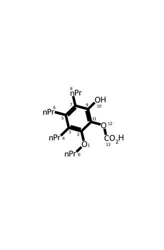 CCCOc1c(CCC)c(CCC)c(CCC)c(O)c1OC(=O)O